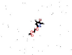 CC(=O)OCCOc1cc(C)c(Br)c(C)n1